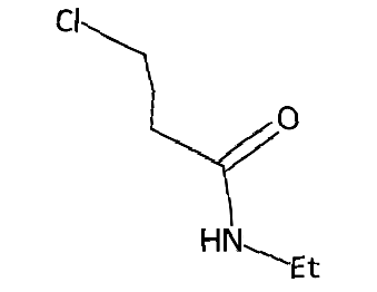 [CH2]CNC(=O)CCCl